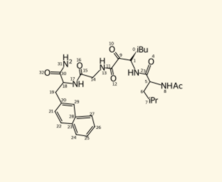 CC[C@H](C)C(NC(=O)C(CC(C)C)NC(C)=O)C(=O)C(=O)NCC(=O)NC(Cc1ccc2ccccc2c1)C(N)=O